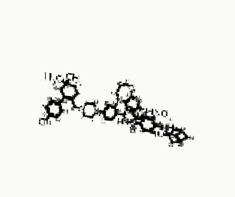 CC1(C)CCC(CN2CCN(c3ccc(C(=O)NS(=O)(=O)c4ccc(NCC5C6CC(O)CC5C6)c([N+](=O)[O-])c4)c(N4CCCOc5nc6[nH]ccc6cc54)c3)CC2)=C(c2ccc(Cl)cc2)C1